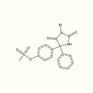 CCN1C(=O)C(c2ccccc2)(c2ccc(OS(C)(=O)=O)cc2)NC1=S